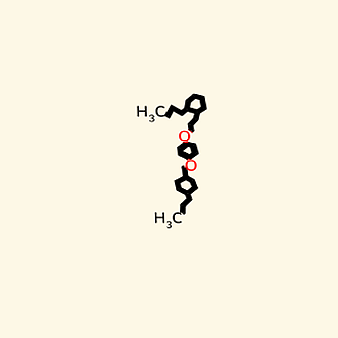 CCCCC1CCC(COc2ccc(OCCCC3CCCCC3CCCC)cc2)CC1